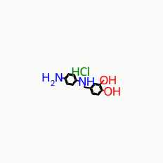 Cl.Nc1ccc(NCc2ccc(O)c(O)c2)cc1